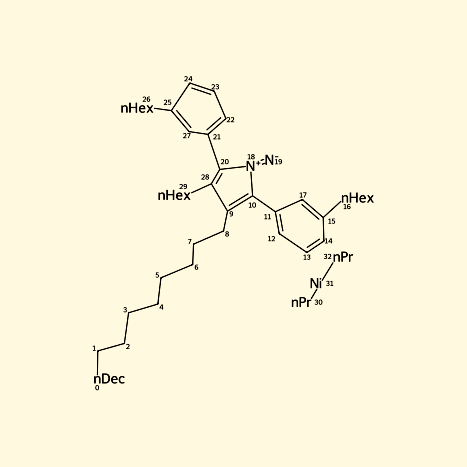 CCCCCCCCCCCCCCCCCCC1=C(c2cccc(CCCCCC)c2)[N+](=[N-])C(c2cccc(CCCCCC)c2)=C1CCCCCC.CC[CH2][Ni][CH2]CC